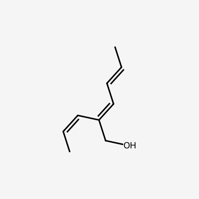 C\C=C/C(=C\C=C\C)CO